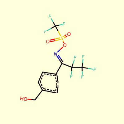 O=S(=O)(ON=C(c1ccc(CO)cc1)C(F)(F)C(F)(F)F)C(F)(F)F